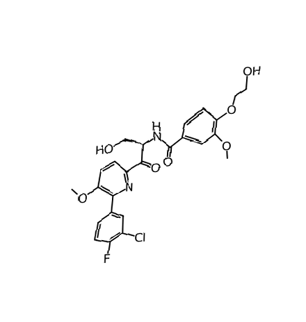 COc1cc(C(=O)N[C@H](CO)C(=O)c2ccc(OC)c(-c3ccc(F)c(Cl)c3)n2)ccc1OCCO